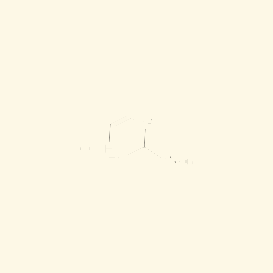 C=CC(=O)O.CCCCCCCCCC(O)CCCCCCCC